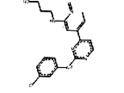 C=N/C(=C\C(=C/C)c1ccnc(Nc2cccc(Cl)c2)n1)NCCCO